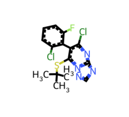 CC(C)(C)Sc1c(-c2c(F)cccc2Cl)c(Cl)nc2ncnn12